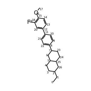 CCC1CCC2CC(c3ccc(-c4ccc(OC)c(F)c4)cc3)CCC2C1